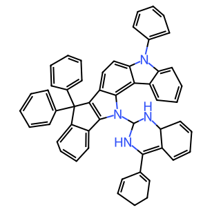 C1=CC2=C(C3=CCCC=C3)NC(n3c4c(c5ccc6c(c7ccccc7n6-c6ccccc6)c53)C(c3ccccc3)(c3ccccc3)c3ccccc3-4)NC2C=C1